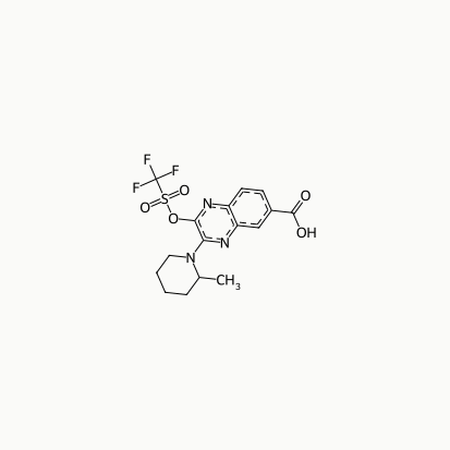 CC1CCCCN1c1nc2cc(C(=O)O)ccc2nc1OS(=O)(=O)C(F)(F)F